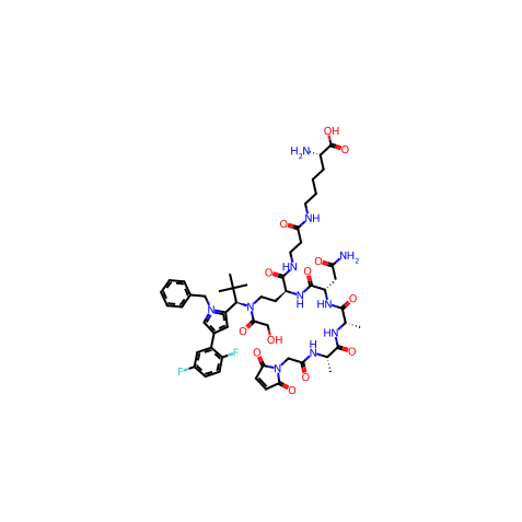 C[C@H](NC(=O)CN1C(=O)C=CC1=O)C(=O)N[C@@H](C)C(=O)N[C@@H](CC(N)=O)C(=O)N[C@@H](CCN(C(=O)CO)[C@@H](c1cc(-c2cc(F)ccc2F)cn1Cc1ccccc1)C(C)(C)C)C(=O)NCCC(=O)NCCCC[C@H](N)C(=O)O